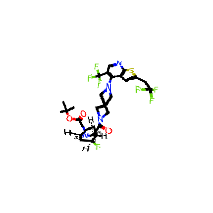 CC(C)(C)OC(=O)N1[C@H]2CC[C@H]([C@@H](F)C2)[C@@H]1C(=O)N1CC2(C1)CN(c1c(C(F)(F)F)cnc3sc(CC(F)(F)F)cc13)C2